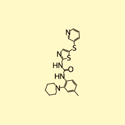 Cc1ccc(NC(=O)Nc2ncc(Sc3cccnc3)s2)c(N2CCCCC2)c1